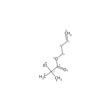 C=CCCOC(=O)C(C)(C)CC